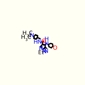 CCn1ncc2c(NC3CCC(=O)CC3)c(C(=O)NCc3ccc(N(C)C)cc3)cnc21